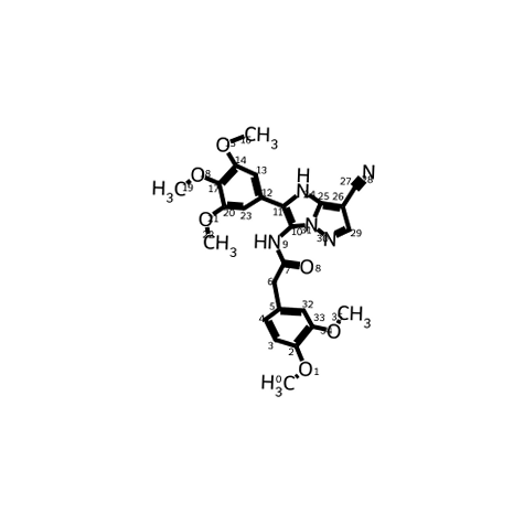 COc1ccc(CC(=O)Nc2c(-c3cc(OC)c(OC)c(OC)c3)[nH]c3c(C#N)cnn23)cc1OC